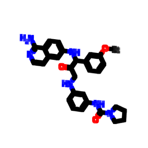 CCOc1cccc(C(Nc2ccc3c(N)nccc3c2)C(=O)CNc2cccc(NC(=O)N3CCCC3)c2)c1